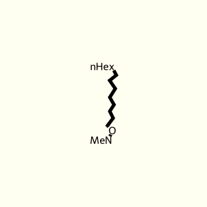 CCCCCCCCCCCCCCONC